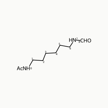 CC(=O)NCCCCCCNC=O